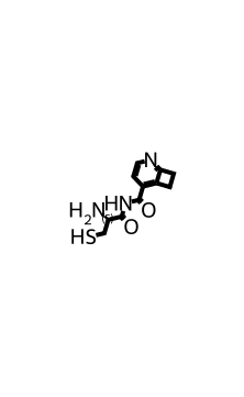 N[C@H](CS)C(=O)NC(=O)c1ccnc2c1CC2